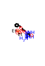 CCOP(=O)(COC(COCc1ccccc1)CON1CNc2c1nc(N)[nH]c2=O)OCC